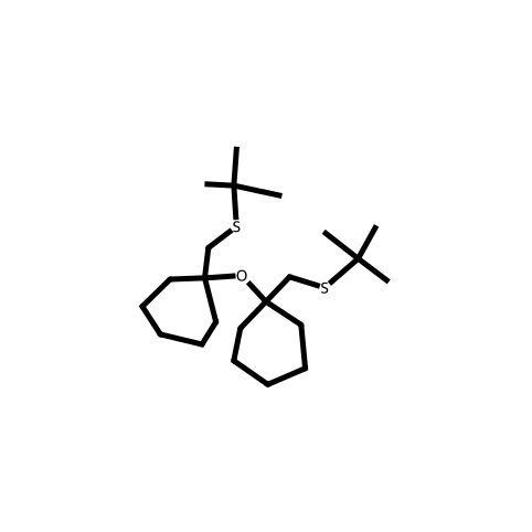 CC(C)(C)SCC1(OC2(CSC(C)(C)C)CCCCC2)CCCCC1